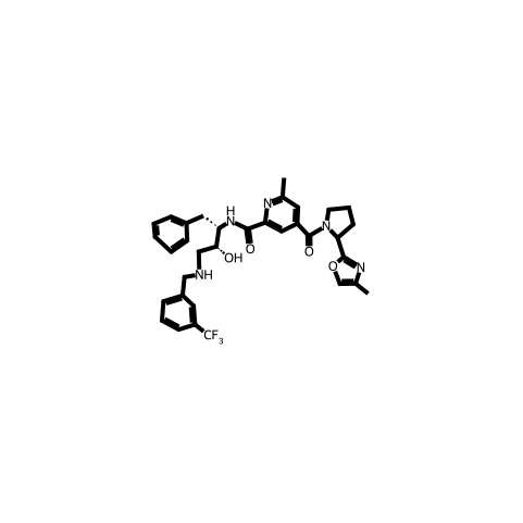 Cc1cc(C(=O)N2CCCC2c2nc(C)co2)cc(C(=O)N[C@@H](Cc2ccccc2)[C@H](O)CNCc2cccc(C(F)(F)F)c2)n1